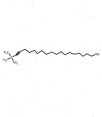 CS(C)(C)C#CCCCCCCCCCCCCCCCCO